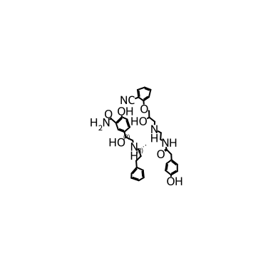 C[C@H](CCc1ccccc1)NC[C@H](O)c1ccc(O)c(C(N)=O)c1.N#Cc1ccccc1OCC(O)CNCCNC(=O)Cc1ccc(O)cc1